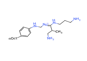 CCCCCCCCc1ccc(NC/N=C(/NCCCN)C(C)CN)cc1